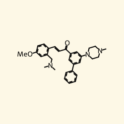 COc1ccc(C=CC(=O)c2cc(-c3ccccc3)cc(N3CCN(C)CC3)c2)c(CN(C)C)c1